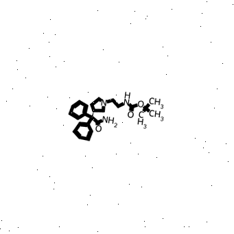 CC(C)(C)OC(=O)NCCN1CC[C@@H](C(C(N)=O)(c2ccccc2)c2ccccc2)C1